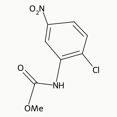 COC(=O)Nc1cc([N+](=O)[O-])ccc1Cl